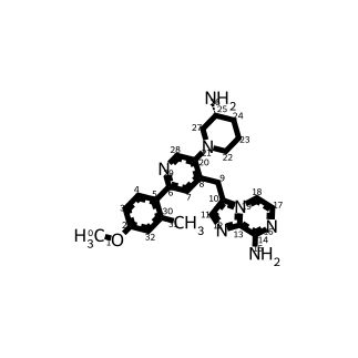 COc1ccc(-c2cc(Cc3cnc4c(N)nccn34)c(N3CCC[C@@H](N)C3)cn2)c(C)c1